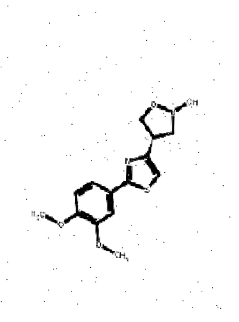 COc1ccc(-c2nc([C@H]3COB(O)C3)cs2)cc1OC